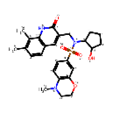 Cc1ccc2cc(CN(C3CCCC3O)S(=O)(=O)c3ccc4c(c3)OCCN4C)c(=O)[nH]c2c1C